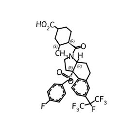 C[C@H]1CC(C(=O)O)CC[C@H]1C(=O)N1CC[C@@]2(S(=O)(=O)c3ccc(F)cc3)c3ccc(C(F)(C(F)(F)F)C(F)(F)F)cc3CC[C@@H]12